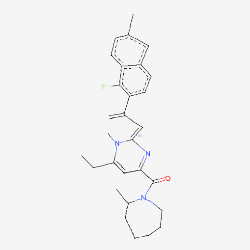 C=C(/C=C1/N=C(C(=O)N2CCCCCC2C)C=C(CC)N1C)c1ccc2cc(C)ccc2c1F